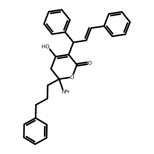 CCCC1(CCCc2ccccc2)CC(O)=C(C(/C=C/c2ccccc2)c2ccccc2)C(=O)O1